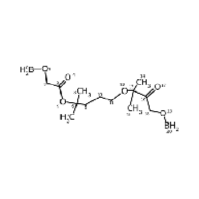 BOCC(=O)OC(C)(C)CCCOC(C)(C)C(=O)COB